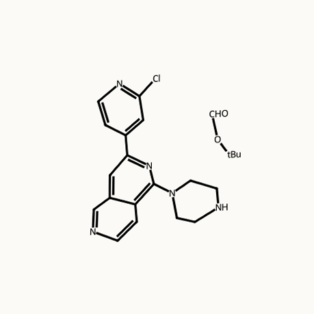 CC(C)(C)OC=O.Clc1cc(-c2cc3cnccc3c(N3CCNCC3)n2)ccn1